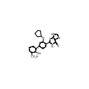 O=C(O)c1cccc(-c2ccc(-c3nc4[nH]cnc4c(=O)[nH]3)c(OC3CCCC3)c2)c1O